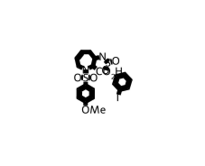 COc1ccc(S(=O)(=O)N2CC=CCC(N=S(=O)=O)C2C(=O)O)cc1.Ic1ccccc1